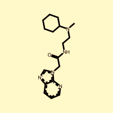 CN(CCNC(=O)Cn1cnc2cccnc21)C1CCCCC1